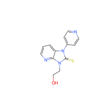 OCCn1c(=S)n(-c2ccncc2)c2cccnc21